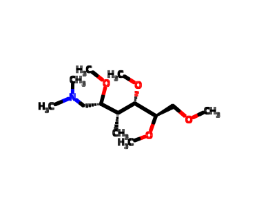 COC[C@@H](OC)[C@@H](OC)[C@H](C)[C@H](CN(C)C)OC